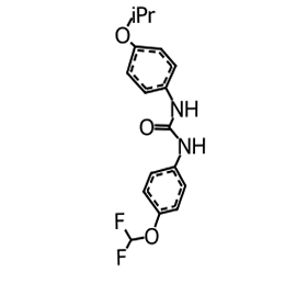 CC(C)Oc1ccc(NC(=O)Nc2ccc(OC(F)F)cc2)cc1